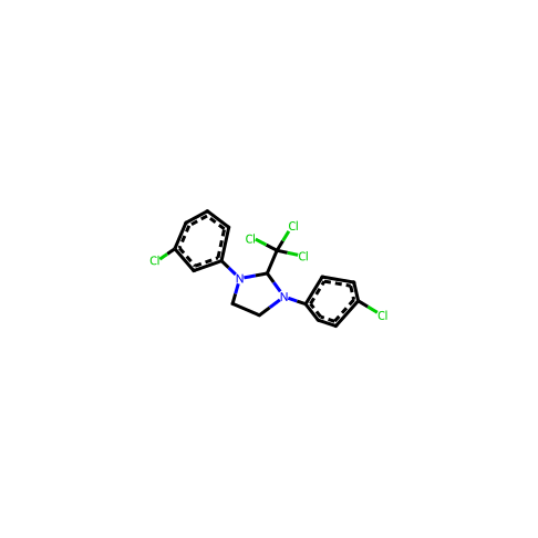 Clc1ccc(N2CCN(c3cccc(Cl)c3)C2C(Cl)(Cl)Cl)cc1